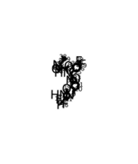 O=C(N[C@H](c1nc2cc(CN3C[C@@H](C(F)(F)F)NC3=O)ccc2o1)C1CCC(F)(F)CC1)c1conc1C1CC1